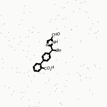 CCC(C)C(c1ccc(-c2ccccc2C(=O)O)cc1)c1ncc(C=O)[nH]1